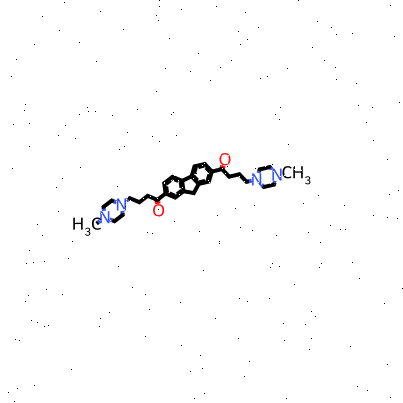 CN1CCN(CCCC(=O)c2ccc3c(c2)Cc2cc(C(=O)CCCN4CCN(C)CC4)ccc2-3)CC1